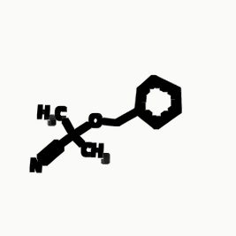 CC(C)(C#N)OCc1ccccc1